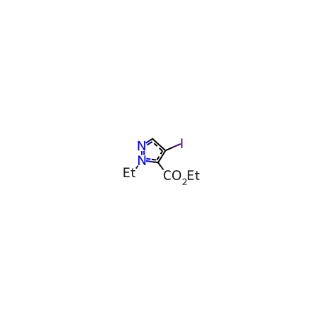 CCOC(=O)c1c(I)cnn1CC